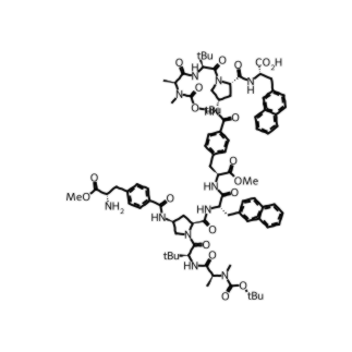 COC(=O)[C@H](Cc1ccc(C(=O)N[C@H]2C[C@@H](C(=O)N[C@@H](Cc3ccc4ccccc4c3)C(=O)O)N(C(=O)[C@@H](NC(=O)[C@H](C)N(C)C(=O)OC(C)(C)C)C(C)(C)C)C2)cc1)NC(=O)[C@H](Cc1ccc2ccccc2c1)NC(=O)[C@@H]1C[C@H](NC(=O)c2ccc(C[C@H](N)C(=O)OC)cc2)CN1C(=O)[C@@H](NC(=O)[C@H](C)N(C)C(=O)OC(C)(C)C)C(C)(C)C